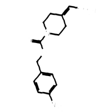 O=C(O)C=C1CCN(C(=O)OCc2ccc([N+](=O)[O-])cc2)CC1